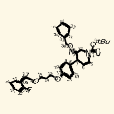 CC(C)(C)OC(=O)N1CCC(c2ccc(OCCCOCc3ccccc3F)cc2)C(=NOCc2ccccc2)C1